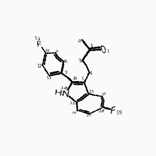 CC(=O)CCc1c(-c2ccc(F)cc2)[nH]c2ccc(F)cc12